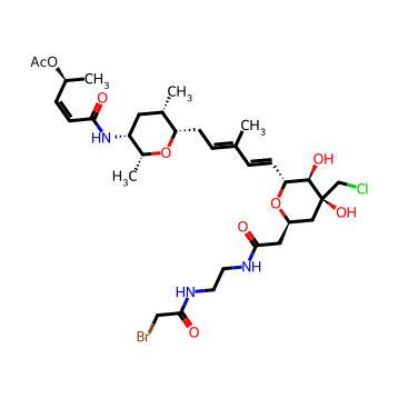 CC(=O)O[C@@H](C)/C=C\C(=O)N[C@@H]1C[C@H](C)[C@H](C/C=C(C)/C=C/[C@H]2O[C@H](CC(=O)NCCNC(=O)CBr)C[C@@](O)(CCl)[C@@H]2O)O[C@@H]1C